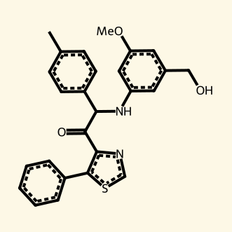 COc1cc(CO)cc(NC(C(=O)c2ncsc2-c2ccccc2)c2ccc(C)cc2)c1